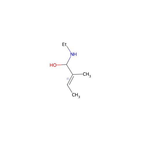 C/C=C(\C)C(O)NCC